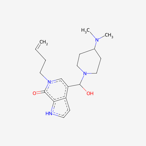 C=CCCn1cc(C(O)N2CCC(N(C)C)CC2)c2cc[nH]c2c1=O